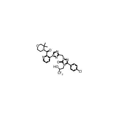 CC1(C)COCCN1C(=O)c1ncccc1-n1cnc(Cn2nc(-c3ccc(Cl)cc3)n(CC(O)C(F)(F)F)c2=O)n1